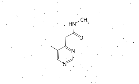 CNC(=O)Cc1ncncc1I